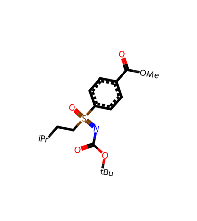 COC(=O)c1ccc(S(=O)(CCC(C)C)=NC(=O)OC(C)(C)C)cc1